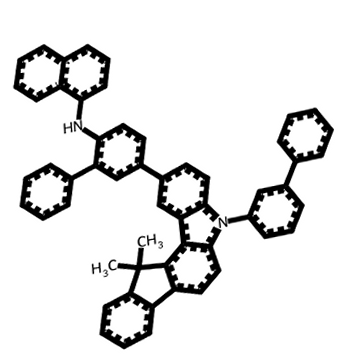 CC1(C)c2ccccc2-c2ccc3c(c21)c1cc(-c2ccc(Nc4cccc5ccccc45)c(-c4ccccc4)c2)ccc1n3-c1cccc(-c2ccccc2)c1